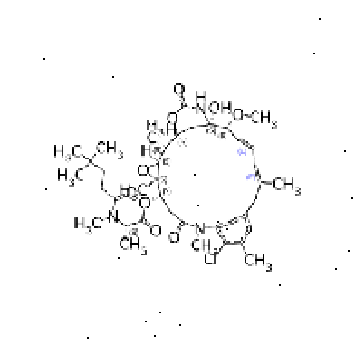 CO[C@@H]1/C=C/C=C(\C)Cc2cc(C)c(Cl)c(c2)N(C)C(=O)C[C@H](OC(=O)[C@H](C)N(C)C(=O)CCC(C)(C)C)[C@]2(C)O[C@H]2[C@H](C)[C@@H]2C[C@@]1(O)NC(=O)O2